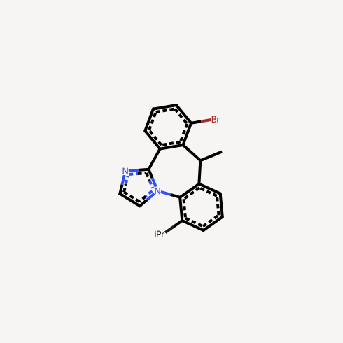 CC(C)c1cccc2c1-n1ccnc1-c1cccc(Br)c1C2C